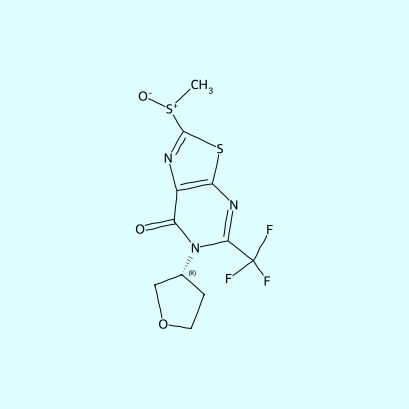 C[S+]([O-])c1nc2c(=O)n([C@@H]3CCOC3)c(C(F)(F)F)nc2s1